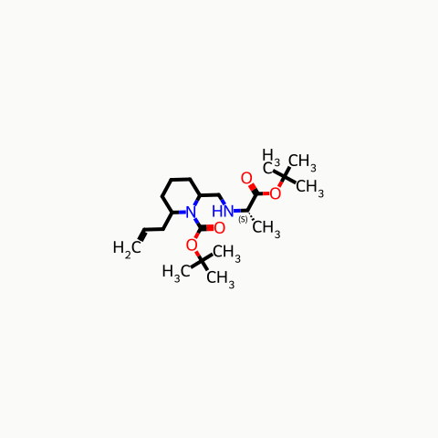 C=CCC1CCCC(CN[C@@H](C)C(=O)OC(C)(C)C)N1C(=O)OC(C)(C)C